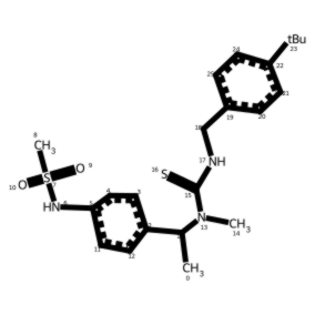 CC(c1ccc(NS(C)(=O)=O)cc1)N(C)C(=S)NCc1ccc(C(C)(C)C)cc1